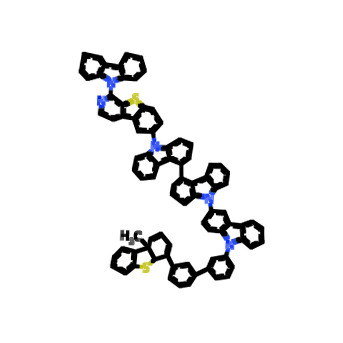 CC12C=CC=C(c3cccc(-c4cccc(-n5c6ccccc6c6cc(-n7c8ccccc8c8c(-c9cccc%10c9c9ccccc9n%10-c9ccc%10sc%11c(-n%12c%13ccccc%13c%13ccccc%13%12)nccc%11c%10c9)cccc87)ccc65)c4)c3)C1Sc1ccccc12